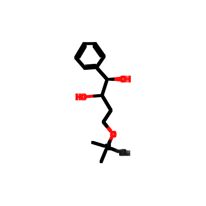 CC(C)(C)[Si](C)(C)OCCC(O)[C@H](O)c1ccccc1